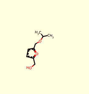 CC(C)OCc1ccc(CO)o1